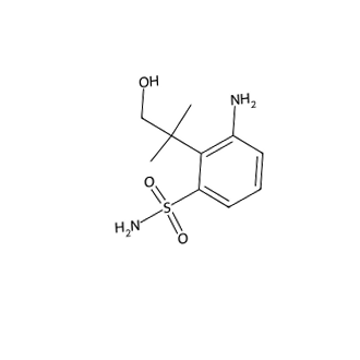 CC(C)(CO)c1c(N)cccc1S(N)(=O)=O